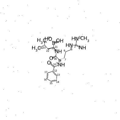 CNC(=N)NCCC[C@H](NC(=O)c1ccccc1)C(=O)N[C@@H](CC(C)C)B(O)O